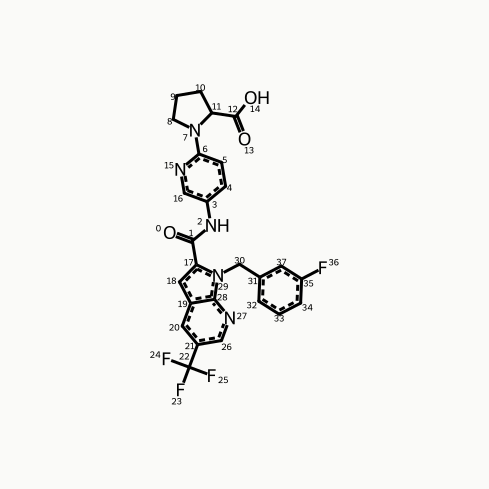 O=C(Nc1ccc(N2CCCC2C(=O)O)nc1)c1cc2cc(C(F)(F)F)cnc2n1Cc1cccc(F)c1